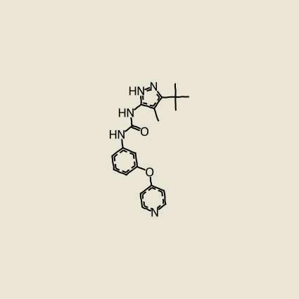 Cc1c(C(C)(C)C)n[nH]c1NC(=O)Nc1cccc(Oc2ccncc2)c1